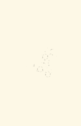 COC(=O)c1ccc(-c2ccccc2)c(C(C)C(O)(c2ccc3c(c2)N(C)C(=O)CO3)C(F)(F)F)c1